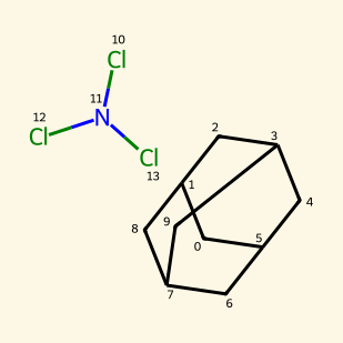 C1C2CC3CC1CC(C2)C3.ClN(Cl)Cl